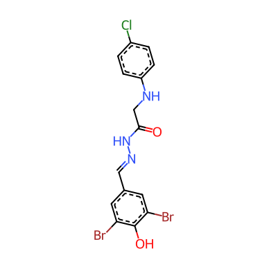 O=C(CNc1ccc(Cl)cc1)N/N=C/c1cc(Br)c(O)c(Br)c1